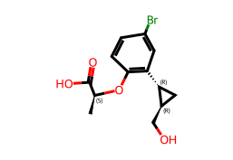 C[C@H](Oc1ccc(Br)cc1[C@@H]1C[C@H]1CO)C(=O)O